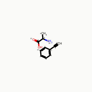 C#Cc1ccccc1.CC(N)C(=O)O